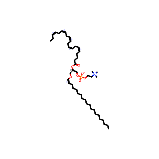 CC/C=C\C/C=C\C/C=C\C/C=C\C/C=C\CCCC(=O)O[C@H](CO/C=C\CCCCCCCCCCCCCCCCCC)COP(=O)([O-])OCC[N+](C)(C)C